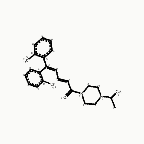 CC(O)N1CCN(C(=O)C=CC=C(c2ccccc2C(F)(F)F)c2ccccc2C(F)(F)F)CC1